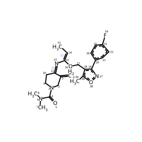 C=C1CN(C(=O)N(C)C)CC/C1=N/C(=C\C)OCc1c(-c2ccc(F)cc2)noc1C